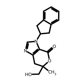 CC1(CO)Cc2ncn(C3Cc4ccccc4C3)c2C(=O)O1